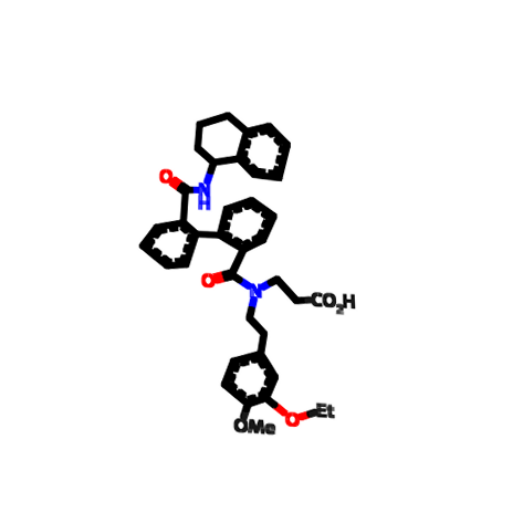 CCOc1cc(CCN(CCC(=O)O)C(=O)c2ccccc2-c2ccccc2C(=O)NC2CCCc3ccccc32)ccc1OC